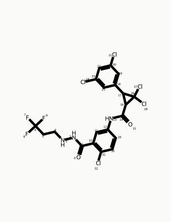 O=C(NNCCC(F)(F)F)c1cc(NC(=O)C2C(c3cc(Cl)cc(Cl)c3)C2(Cl)Cl)ccc1Cl